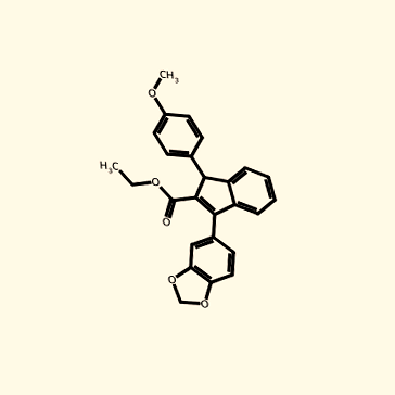 CCOC(=O)C1=C(c2ccc3c(c2)OCO3)c2ccccc2C1c1ccc(OC)cc1